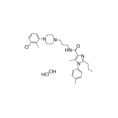 CCCc1nc(C(=O)NCCCN2CCN(c3cccc(Cl)c3C)CC2)c(C)n1-c1ccc(C)cc1.Cl.Cl